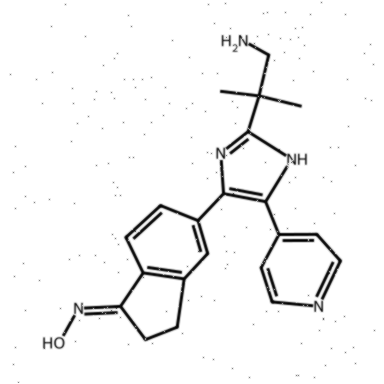 CC(C)(CN)c1nc(-c2ccc3c(c2)CCC3=NO)c(-c2ccncc2)[nH]1